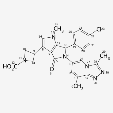 Cc1cc(N2C(=O)c3c(C4CN(C(=O)O)C4)cn(C)c3C2c2ccc(Cl)cc2)cn2c(C)nnc12